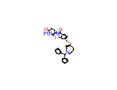 O=C1CCC(N2Cc3cc(SC4CCCN(C(c5ccccc5)c5ccccc5)CC4)ccc3C2=O)C(=O)N1